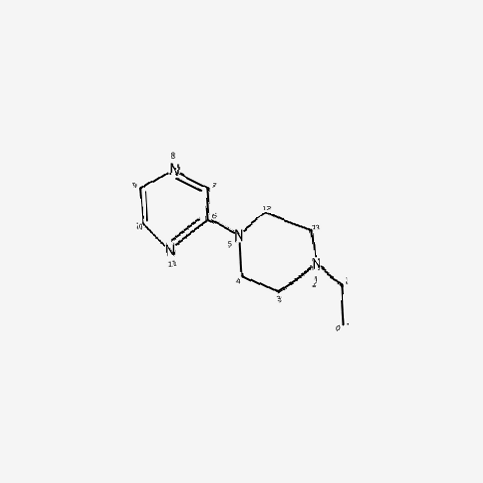 [CH2]CN1CCN(c2cnccn2)CC1